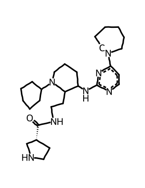 O=C(NCCC1C(Nc2nccc(N3CCCCCC3)n2)CCCN1C1CCCCC1)[C@@H]1CCNC1